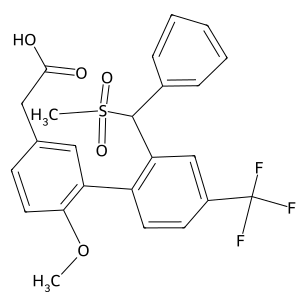 COc1ccc(CC(=O)O)cc1-c1ccc(C(F)(F)F)cc1C(c1ccccc1)S(C)(=O)=O